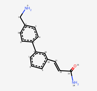 NCc1ccc(-c2cccc(/C=C/C(N)=O)c2)cc1